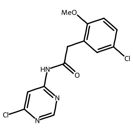 COc1ccc(Cl)cc1CC(=O)Nc1cc(Cl)ncn1